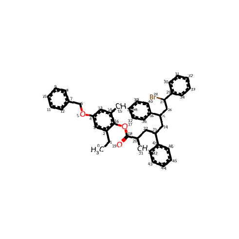 CCc1cc(OCc2ccccc2)cc(C)c1OC(=O)C(C)CC(CC(CC(Br)c1ccccc1)c1ccccc1)c1ccccc1